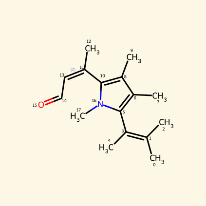 CC(C)=C(C)c1c(C)c(C)c(/C(C)=C\C=O)n1C